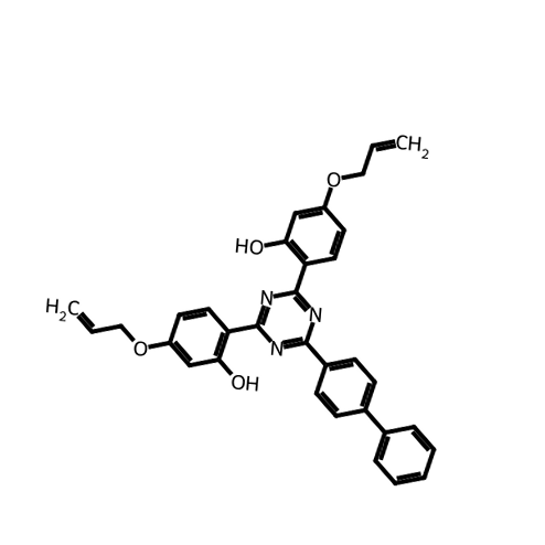 C=CCOc1ccc(-c2nc(-c3ccc(-c4ccccc4)cc3)nc(-c3ccc(OCC=C)cc3O)n2)c(O)c1